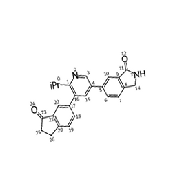 CC(C)c1ncc(-c2ccc3c(c2)C(=O)NC3)cc1-c1ccc2c(c1)C(=O)CC2